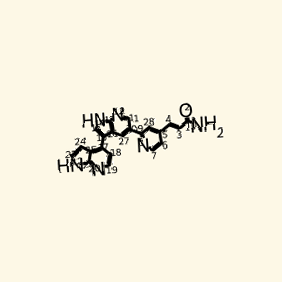 NC(=O)C=Cc1ccnc(-c2cnc3[nH]cc(-c4ccnc5[nH]ccc45)c3c2)c1